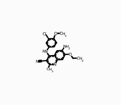 CCOc1cc2nc(C)c(C#N)c(Nc3ccc(OC)c(Cl)c3)c2cc1N